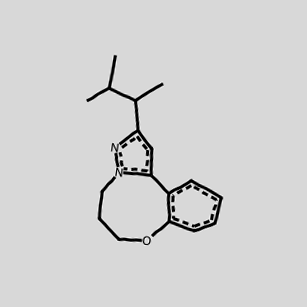 CC(C)C(C)c1cc2n(n1)CCCOc1ccccc1-2